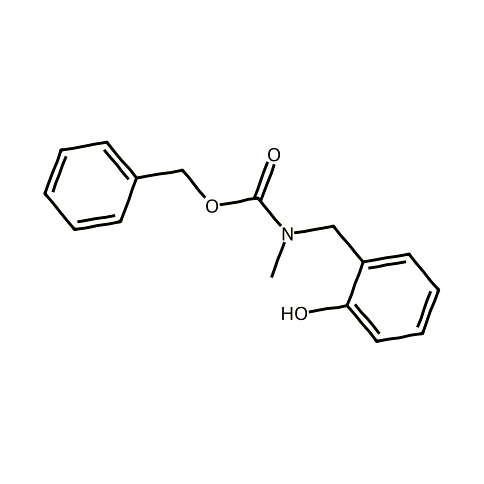 CN(Cc1ccccc1O)C(=O)OCc1ccccc1